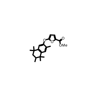 COC(=O)c1ccc(Oc2cc3c(cc2C)C(C)(C)C(C)CC3(C)C)o1